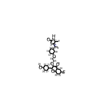 C=c1[nH]c(=O)s/c1=C(/C)c1cccc(OCCOc2c(-c3ccc(OC)cc3)oc3ccc(F)cc3c2=O)c1